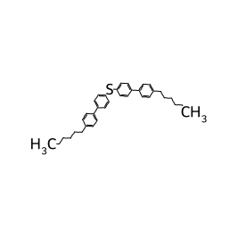 CCCCCCc1ccc(-c2ccc(Sc3ccc(-c4ccc(CCCCCC)cc4)cc3)cc2)cc1